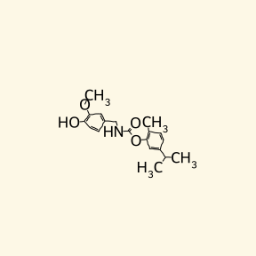 COc1cc(CNC(=O)Oc2cc(C(C)C)ccc2C)ccc1O